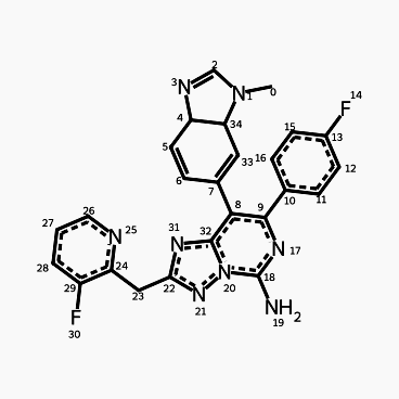 CN1C=NC2C=CC(c3c(-c4ccc(F)cc4)nc(N)n4nc(Cc5ncccc5F)nc34)=CC21